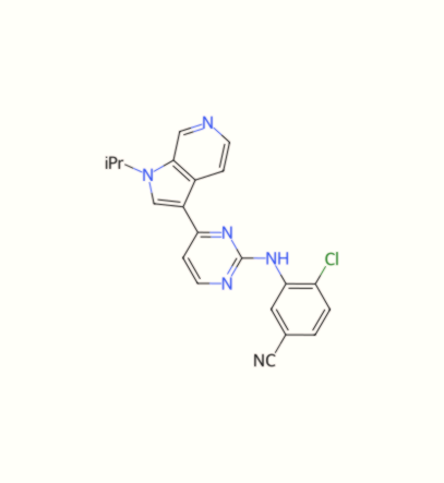 CC(C)n1cc(-c2ccnc(Nc3cc(C#N)ccc3Cl)n2)c2ccncc21